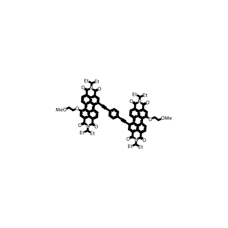 CCC(CC)N1C(=O)c2ccc3c4c(OCCOC)cc5c6c(ccc(c7c(C#Cc8ccc(C#Cc9cc%10c%11c(ccc%12c%13c(OCCOC)cc%14c%15c(ccc(c9c%11%12)c%15%13)C(=O)N(C(CC)CC)C%14=O)C(=O)N(C(CC)CC)C%10=O)cc8)cc(c2c37)C1=O)c64)C(=O)N(C(CC)CC)C5=O